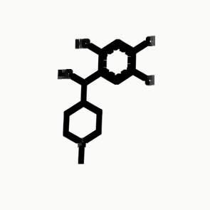 CN1CCC(C(O)c2cc(Cl)c(Cl)cc2O)CC1